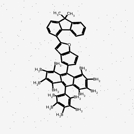 Bc1c(B)c(B)c(-c2c3c(B)c(B)c(B)c(B)c3c(-c3ccc4oc(-c5cccc6c5-c5ccccc5C6(C)C)cc4c3)c3c(B)c(B)c(B)c(B)c23)c(B)c1B